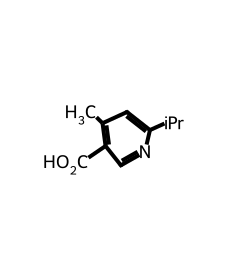 Cc1cc(C(C)C)ncc1C(=O)O